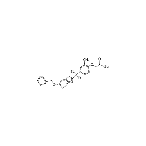 CCC(CC)(c1ccc(OCC(=O)C(C)(C)C)c(C)c1)c1cc2cc(OCc3ccccc3)ccc2o1